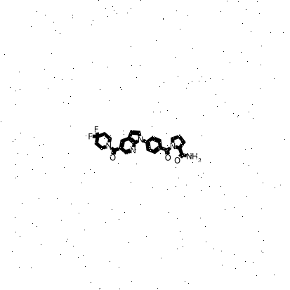 NC(=O)C1CCCN1C(=O)c1ccc(-n2ccc3cc(C(=O)N4CCC(F)(F)CC4)cnc32)cc1